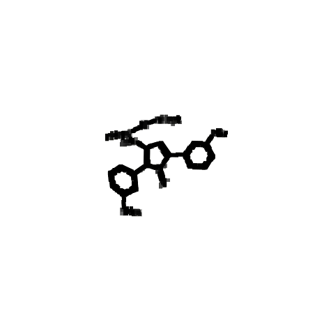 CCCCCC[CH2][Ni][CH2]CCCCCC.CCCCCCc1cccc(C2=C(CCCC)C=C(c3cccc(CCCC)c3)[N+]2=[N-])c1